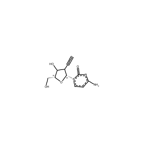 C#CC1C(O)[C@@H](CO)O[C@H]1n1ccc(N)nc1=O